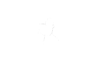 C=CC.ClC(Cl)=C(Cl)Cl